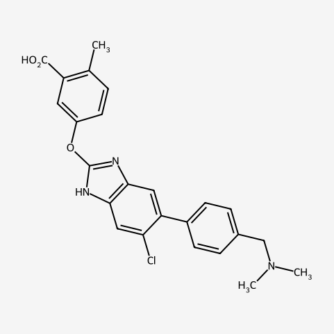 Cc1ccc(Oc2nc3cc(-c4ccc(CN(C)C)cc4)c(Cl)cc3[nH]2)cc1C(=O)O